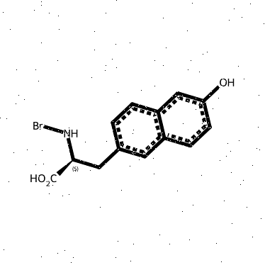 O=C(O)[C@H](Cc1ccc2cc(O)ccc2c1)NBr